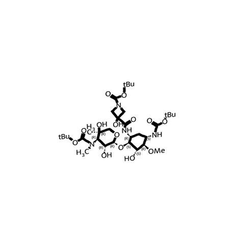 CO[C@H]1[C@H](O)[C@@H](O[C@H]2OC[C@](C)(O)[C@H](N(C)C(=O)OC(C)(C)C)[C@H]2O)[C@H](NC(=O)C2(O)CN(C(=O)OC(C)(C)C)C2)C[C@@H]1NC(=O)OC(C)(C)C